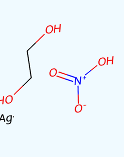 O=[N+]([O-])O.OCCO.[Ag]